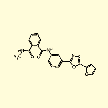 CNC(=O)c1ccccc1C(=O)Nc1cccc(-c2nnc(-c3ccco3)o2)c1